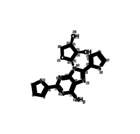 Nc1nc(-c2cccs2)nc2c1nc(-c1cccs1)n2[C@@H]1OC[C@@H](O)[C@H]1O